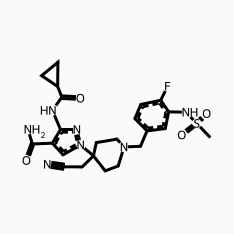 CS(=O)(=O)Nc1cc(CN2CCC(CC#N)(n3cc(C(N)=O)c(NC(=O)C4CC4)n3)CC2)ccc1F